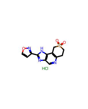 Cl.O=S1(=O)CCc2ncc3nc(-c4ccon4)[nH]c3c2C1